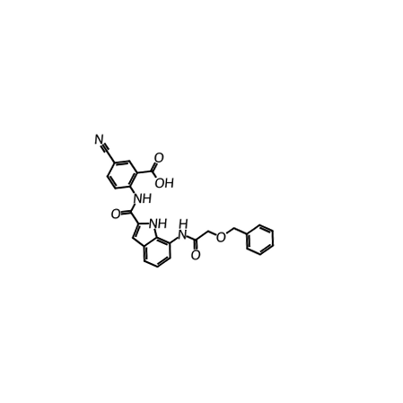 N#Cc1ccc(NC(=O)c2cc3cccc(NC(=O)COCc4ccccc4)c3[nH]2)c(C(=O)O)c1